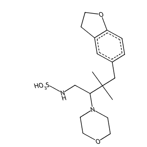 CC(C)(Cc1ccc2c(c1)CCO2)C(CNS(=O)(=O)O)N1CCOCC1